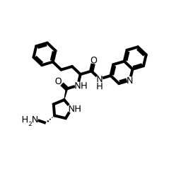 NC[C@H]1CN[C@H](C(=O)NC(CCc2ccccc2)C(=O)Nc2cnc3ccccc3c2)C1